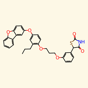 CCCc1cc(Oc2ccc3oc4ccccc4c3c2)ccc1OCCCOc1cccc(C2SC(=O)NC2=O)c1